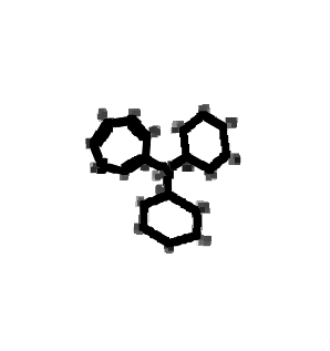 C1=CSC=C(N(C2CCCCC2)C2CCCCC2)C=C1